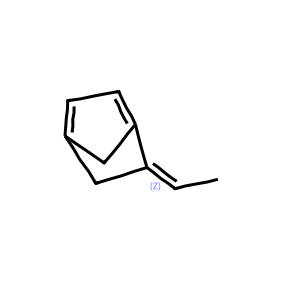 C/C=C1/CC2=CC=C1C2